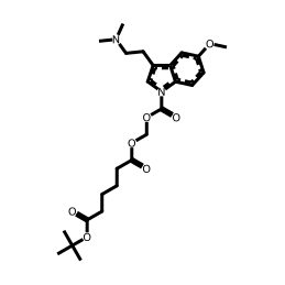 COc1ccc2c(c1)c(CCN(C)C)cn2C(=O)OCOC(=O)CCCCC(=O)OC(C)(C)C